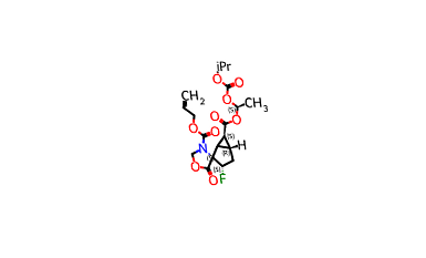 C=CCOC(=O)N1COC(=O)[C@]12C1[C@@H](C[C@@H]2F)[C@@H]1C(=O)O[C@H](C)OC(=O)OC(C)C